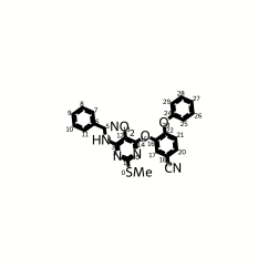 CSc1nc(NCc2ccccc2)c([N+](=O)[O-])c(Oc2cc(C#N)ccc2Oc2ccccc2)n1